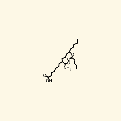 CCCCCC(CCCC(CCCCCCC(=O)O)C(N)=O)OC(=O)CCCC